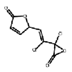 O=C1C=CC(C=C(Cl)C2(Cl)OC2=O)O1